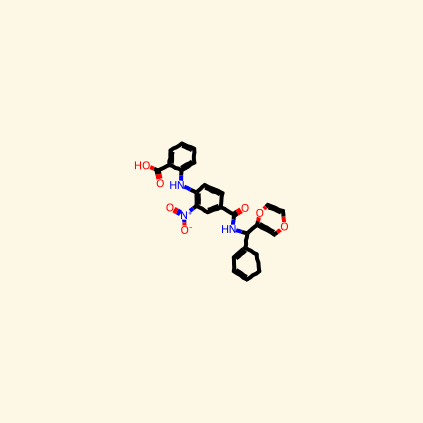 O=C(NC(C1=CC=CCC1)C1=COC=CO1)c1ccc(Nc2ccccc2C(=O)O)c([N+](=O)[O-])c1